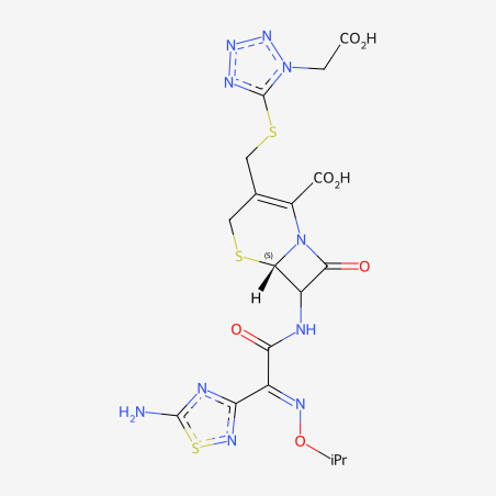 CC(C)ON=C(C(=O)NC1C(=O)N2C(C(=O)O)=C(CSc3nnnn3CC(=O)O)CS[C@@H]12)c1nsc(N)n1